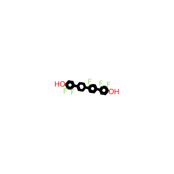 Oc1ccc(C2=CCC(c3ccc(-c4ccc(O)c(F)c4F)cc3F)CC2)c(F)c1F